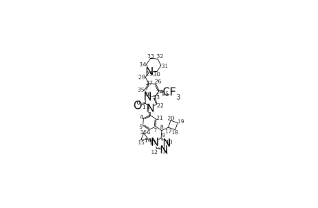 O=c1n(-c2cccc(C(c3nncn3C3CC3)C3CCC3)c2)cc2c(C(F)(F)F)cc(CN3CCCCC3)cn12